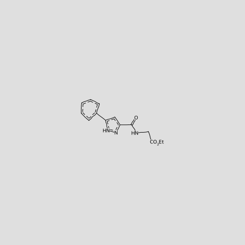 CCOC(=O)CNC(=O)c1cc(-c2ccccc2)[nH]n1